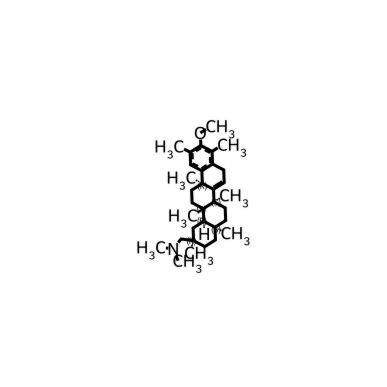 COc1c(C)cc2c(c1C)CC=C1[C@@]2(C)CC[C@@]2(C)[C@@H]3C[C@](C)(CN(C)C)CC[C@]3(C)CC[C@]12C